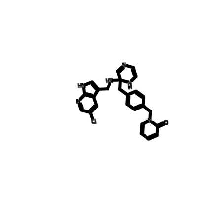 O=c1ccccn1Cc1ccc(CC2(NCc3c[nH]c4ncc(Cl)cc34)C=NC=CN2)cc1